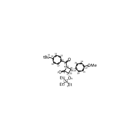 CC[Si](CC)(CC)O[C@@H]1C(=O)N(C(=O)c2ccc(C(C)(C)C)cc2)[C@@H]1c1ccc(OC)cc1